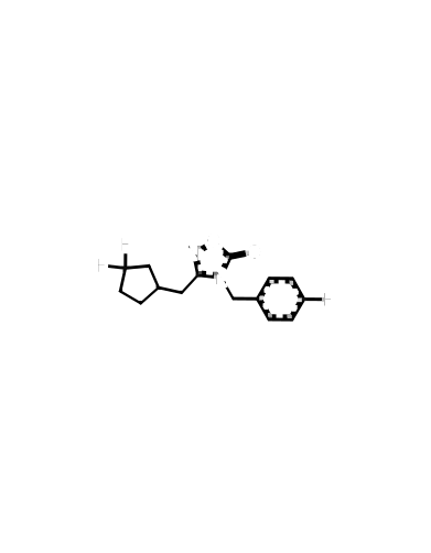 O=c1onc(CC2CCC(F)(F)C2)n1Cc1ccc(F)cc1